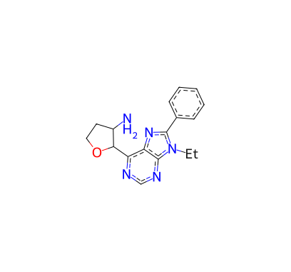 CCn1c(-c2ccccc2)nc2c(C3OCCC3N)ncnc21